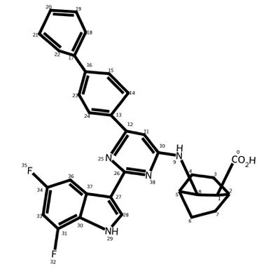 O=C(O)C1C2CCC(CC2)C1Nc1cc(-c2ccc(-c3ccccc3)cc2)nc(-c2c[nH]c3c(F)cc(F)cc23)n1